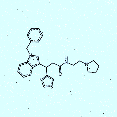 O=C(CC(c1cscn1)c1cn(Cc2ccccc2)c2ccccc12)NCCN1CCCC1